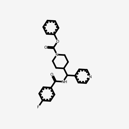 O=C(NC(c1ccncc1)C1CCN(C(=O)Oc2ccccc2)CC1)c1ccc(F)cc1